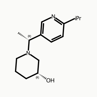 CC(C)c1ccc([C@@H](C)N2CCC[C@@H](O)C2)cn1